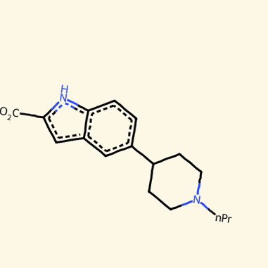 CCCN1CCC(c2ccc3[nH]c(C(=O)O)cc3c2)CC1